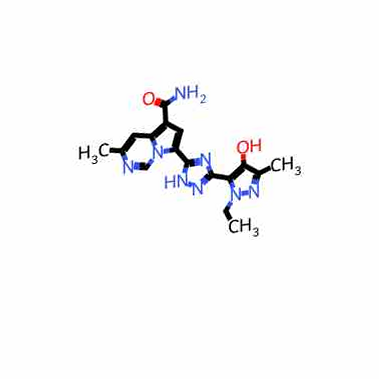 CCn1nc(C)c(O)c1-c1n[nH]c(-c2cc(C(N)=O)c3cc(C)ncn23)n1